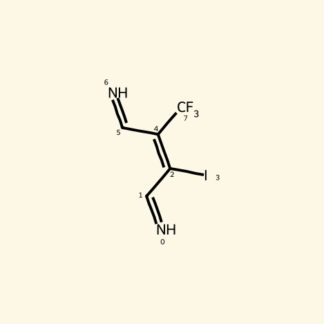 N=C/C(I)=C(\C=N)C(F)(F)F